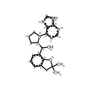 CC1(C)Cc2cccc(C(O)[C@H]3CCCN3c3ncnc4[nH]cnc34)c2O1